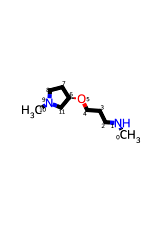 CNCCCO[C@H]1CCN(C)C1